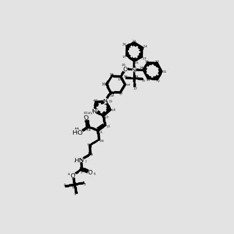 CC(C)(C)OC(=O)NCCCC(=Cc1cn(C2CCC(O[Si](c3ccccc3)(c3ccccc3)C(C)(C)C)CC2)cn1)C(=O)O